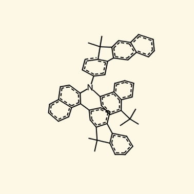 CC(C)(C)c1ccc(N(c2ccc3c(c2)-c2cc4ccccc4cc2C3(C)C)c2ccc3ccccc3c2-c2ccc3c(c2)C(C)(C)c2ccccc2-3)c2ccccc12